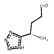 C[C@@H](CCC=O)c1nnn[nH]1